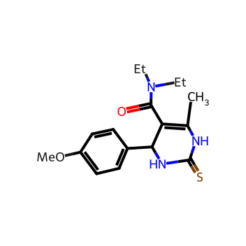 CCN(CC)C(=O)C1=C(C)NC(=S)NC1c1ccc(OC)cc1